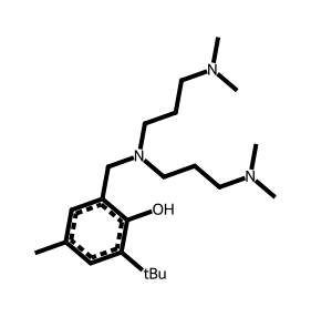 Cc1cc(CN(CCCN(C)C)CCCN(C)C)c(O)c(C(C)(C)C)c1